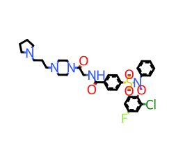 O=C(NCC(=O)N1CCN(CCCN2CCCC2)CC1)c1ccc(S(=O)(=O)N(Oc2ccc(F)cc2Cl)c2ccccc2)cc1